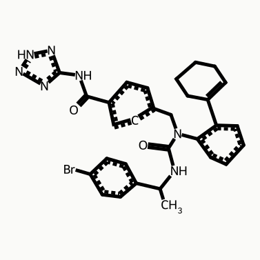 CC(NC(=O)N(Cc1ccc(C(=O)Nc2nn[nH]n2)cc1)c1ccccc1C1=CCCCC1)c1ccc(Br)cc1